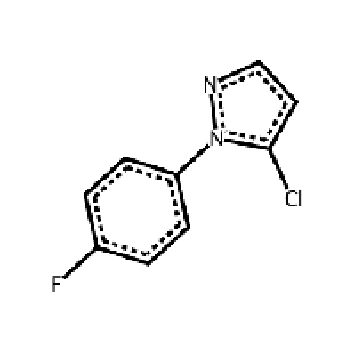 Fc1ccc(-n2nccc2Cl)cc1